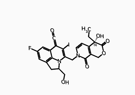 CC[C@@]1(O)C(=O)OCc2c1ccn(CC1=C(I)C(=C=O)c3cc(F)cc4c3N1C(CO)C4)c2=O